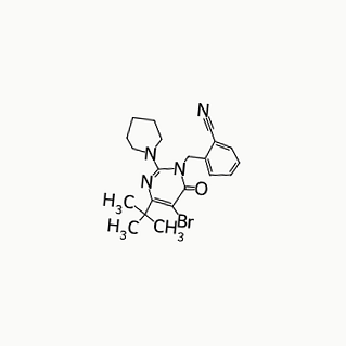 CC(C)(C)c1nc(N2CCCCC2)n(Cc2ccccc2C#N)c(=O)c1Br